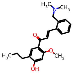 CCCc1cc(C(=O)C=Cc2ccccc2CN(C)C)c(OC)cc1O